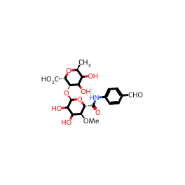 CO[C@H]1C(O)C(O)[C@@H](O[C@H]2C(O)C(O)[C@H](C)O[C@H]2C(=O)O)O[C@@H]1C(=O)Nc1ccc(C=O)cc1